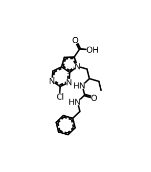 CCC(Cn1c(C(=O)O)cc2cnc(Cl)nc21)NC(=O)NCc1ccccc1